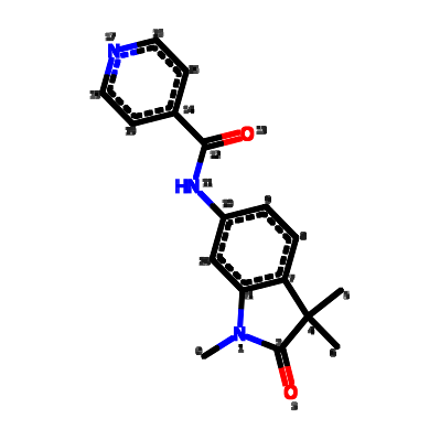 CN1C(=O)C(C)(C)c2ccc(NC(=O)c3ccncc3)cc21